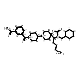 CCCCC1N(CC2CCCCC2)C(=O)OC12CCN(C1CCN(C(=O)c3cccc(C(=O)O)c3)CC1)CC2